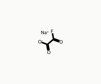 O=C([O-])C(=O)F.[Na+]